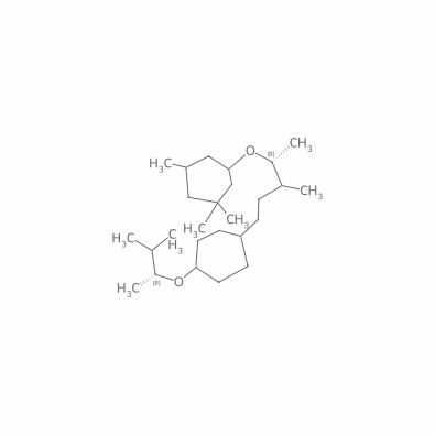 CC1CC(O[C@H](C)C(C)CCC2CCC(O[C@H](C)C(C)C)CC2)CC(C)(C)C1